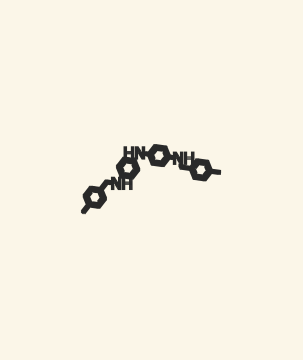 Cc1ccc(CNc2ccc(Nc3ccc(NCc4ccc(C)cc4)cc3)cc2)cc1